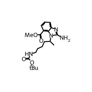 COC(=O)c1cccc2nc(N)n(C(C)CCCCNC(=O)OC(C)(C)C)c12